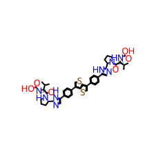 CC(C)[C@H](NC(=O)O)C(=O)N1CCCC1c1ncc(-c2ccc(-c3csc4c(-c5ccc(-c6cnc(C7CCCN7C(=O)[C@@H](NC(=O)O)C(C)C)[nH]6)cc5)csc34)cc2)[nH]1